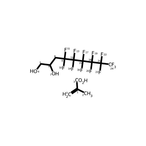 C=C(C)C(=O)O.OCC(O)CC(F)(F)C(F)(F)C(F)(F)C(F)(F)C(F)(F)C(F)(F)F